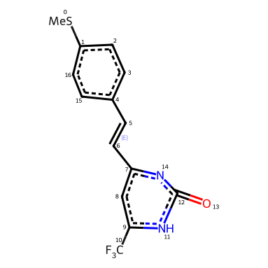 CSc1ccc(/C=C/c2cc(C(F)(F)F)[nH]c(=O)n2)cc1